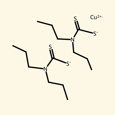 CCCN(CCC)C(=S)[S-].CCCN(CCC)C(=S)[S-].[Cu+2]